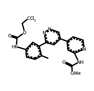 COC(=O)Nc1cc(-c2cnnc(-c3cc(NC(=O)OCC(Cl)(Cl)Cl)ccc3C)c2)ccn1